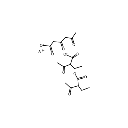 CC(=O)CC(=O)CC(=O)[O-].CCC(C(C)=O)C(=O)[O-].CCC(C(C)=O)C(=O)[O-].[Al+3]